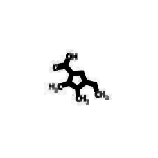 CCC1CC(C(=O)O)C(C)C1C